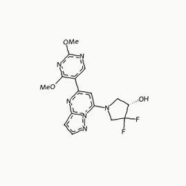 COc1ncc(-c2cc(N3C[C@H](O)C(F)(F)C3)n3nccc3n2)c(OC)n1